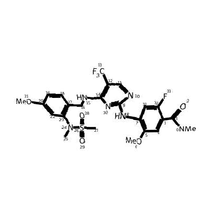 CNC(=O)c1cc(OC)c(Nc2ncc(C(F)(F)F)c(NCc3ccc(OC)cc3N(C)S(C)(=O)=O)n2)cc1F